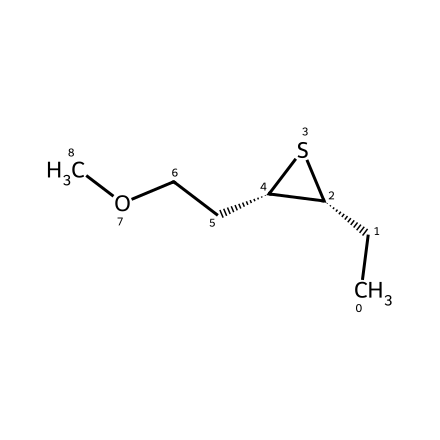 CC[C@H]1S[C@H]1CCOC